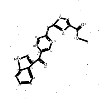 COC(=O)c1csc(Cc2cnc(C(=O)c3c[nH]c4ccccc34)cn2)n1